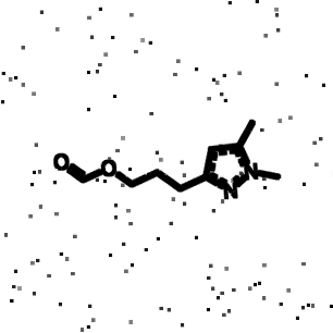 Cc1cc(CCCOC=O)nn1C